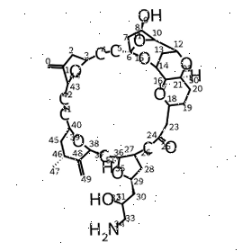 C=C1CC2CC[C@]34C[C@@H](O)C(O3)C3CC(O4)C4OC(CC[C@@H]4O3)CC(=O)CC3C[C@@H](CC(O)CN)O[C@H]3CC3OC(CCC1O2)C[C@@H](C)C3=C